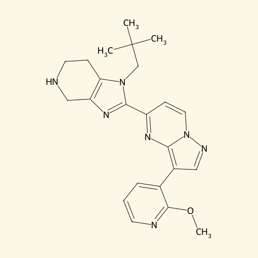 COc1ncccc1-c1cnn2ccc(-c3nc4c(n3CC(C)(C)C)CCNC4)nc12